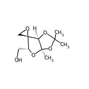 CC1(C)O[C@H]2[C@](C)(O[C@H](CO)[C@@]23CO3)O1